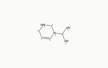 CCCC(CCC)N1C=CCNC1